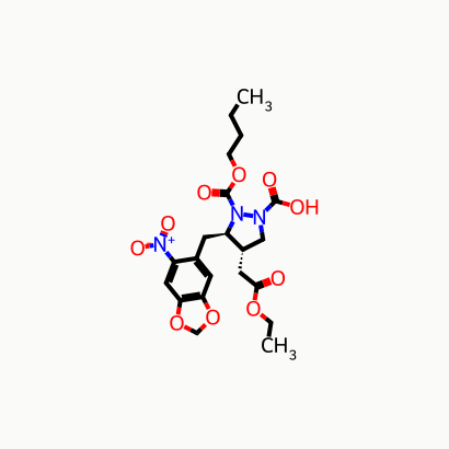 CCCCOC(=O)N1[C@H](Cc2cc3c(cc2[N+](=O)[O-])OCO3)[C@@H](CC(=O)OCC)CN1C(=O)O